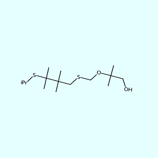 CC(C)SC(C)(C)C(C)(C)CSCOC(C)(C)CO